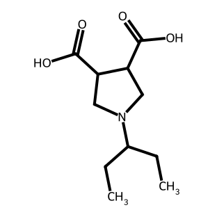 CCC(CC)N1CC(C(=O)O)C(C(=O)O)C1